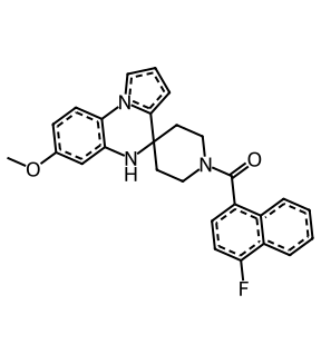 COc1ccc2c(c1)NC1(CCN(C(=O)c3ccc(F)c4ccccc34)CC1)c1cccn1-2